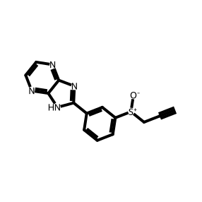 C#CC[S+]([O-])c1cccc(-c2nc3nccnc3[nH]2)c1